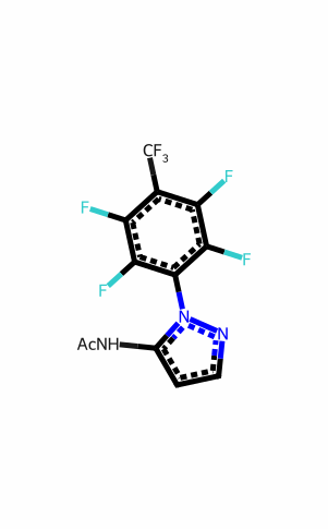 CC(=O)Nc1ccnn1-c1c(F)c(F)c(C(F)(F)F)c(F)c1F